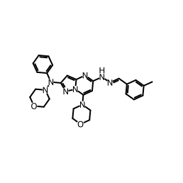 Cc1cccc(/C=N/Nc2cc(N3CCOCC3)n3nc(N(c4ccccc4)N4CCOCC4)cc3n2)c1